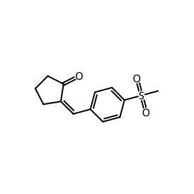 CS(=O)(=O)c1ccc(/C=C2/CCCC2=O)cc1